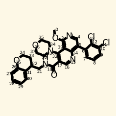 COc1ncc(-c2cccc(Cl)c2Cl)c2ncc(C(=O)NCC3CCOc4ccccc43)c(N3CCOCC3)c12